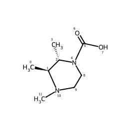 C[C@H]1[C@H](C)N(C(=O)O)CCN1C